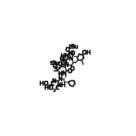 Cc1cc(O)cc(C)c1C[C@H](NC(=NC(=O)OC(C)(C)C)NC(=O)OC(C)(C)C)C(=O)N[C@H](CC[S+](C)[O-])C(=O)NC[C@H](Cc1ccccc1)NC(=NC(=O)O)NC(=O)O